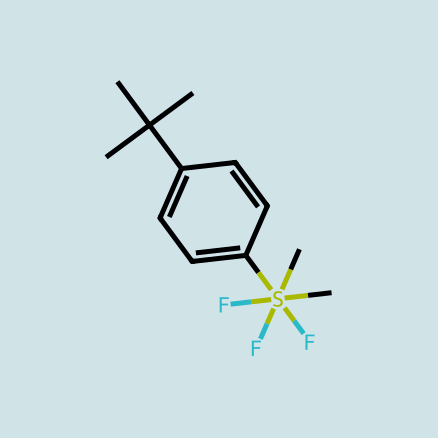 CC(C)(C)c1ccc(S(C)(C)(F)(F)F)cc1